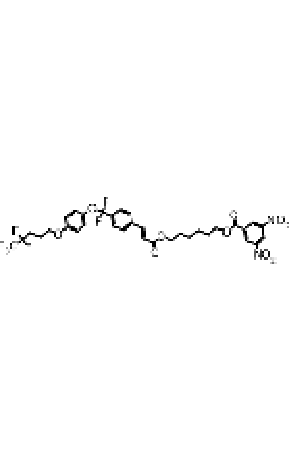 O=C(C=Cc1ccc(C(F)(F)Oc2ccc(OCCCC(F)(F)C(F)(F)F)cc2)cc1)OCCCCCCOC(=O)c1cc([N+](=O)[O-])cc([N+](=O)[O-])c1